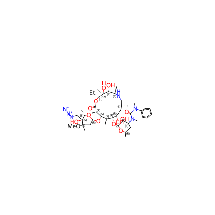 CC[C@H]1OC(=O)[C@H](C)[C@@H](O[C@H]2C[C@@](C)(OC)[C@](O)(CN=[N+]=[N-])[C@H](C)O2)[C@H](C)[C@@H](O[C@@H]2O[C@H](C)C[C@H](N(C)C(=O)N(C)c3ccccc3)[C@H]2O)[C@](C)(O)C[C@@H](C)CN[C@H](C)[C@@H](O)[C@]1(C)O